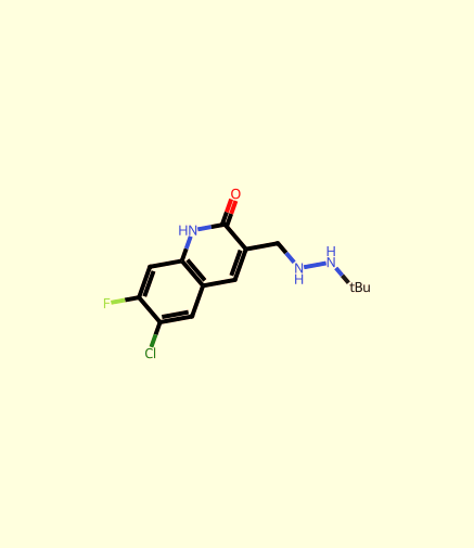 CC(C)(C)NNCc1cc2cc(Cl)c(F)cc2[nH]c1=O